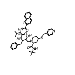 CC(C)[C@H](NC(=O)c1ccc2ccccc2n1)C(=O)NC(Cc1ccccc1)C(O)CN1CCC(SCc2ccncc2)CC1C(=O)NC(C)(C)C